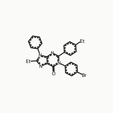 CCc1ccc(-c2nc3c(nc(CC)n3-c3ccccc3)c(=O)n2-c2ccc(Br)cc2)cc1